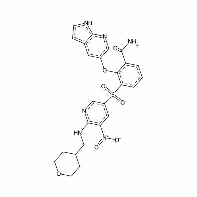 NC(=O)c1cccc(S(=O)(=O)c2cnc(NCC3CCOCC3)c([N+](=O)[O-])c2)c1Oc1cnc2[nH]ccc2c1